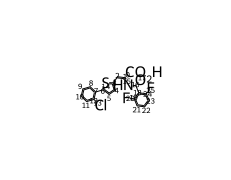 O=C(O)/C(=C/c1ccc(-c2ccccc2Cl)s1)NC(=O)c1c(F)cccc1F